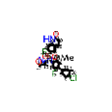 COc1cc(-c2ccc(Cl)c(C)c2)c(F)cc1N(c1ccon1)S(=O)(=O)c1cc2ccc(=O)[nH]c2cc1F